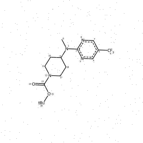 CN(c1ncc(C(F)(F)F)cn1)C1CCN(C(=O)OC(C)(C)C)CC1